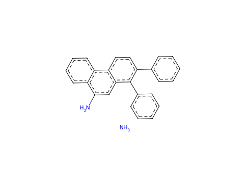 N.Nc1cc2c(-c3ccccc3)c(-c3ccccc3)ccc2c2ccccc12